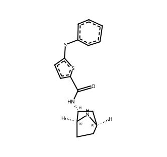 O=C(N[C@@H]1C[C@H]2CC[C@@H]1N2)c1ccc(Sc2ccccc2)s1